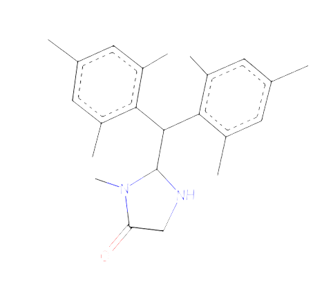 Cc1cc(C)c(C(c2c(C)cc(C)cc2C)C2NCC(=O)N2C)c(C)c1